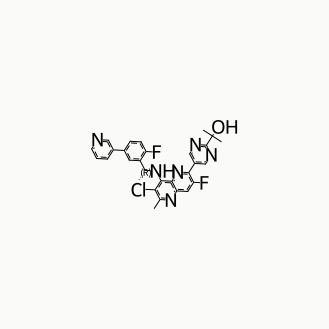 Cc1nc2cc(F)c(-c3cnc(C(C)(C)O)nc3)nc2c(N[C@H](C)c2cc(-c3cccnc3)ccc2F)c1Cl